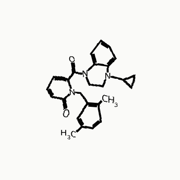 Cc1ccc(C)c(Cn2c(C(=O)N3CCN(C4CC4)c4ccccc43)cccc2=O)c1